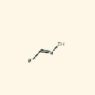 O/N=C/Br